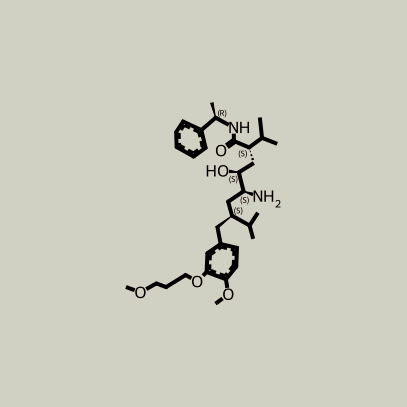 COCCCOc1cc(C[C@@H](C[C@H](N)[C@@H](O)C[C@H](C(=O)N[C@H](C)c2ccccc2)C(C)C)C(C)C)ccc1OC